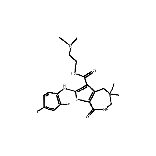 CN(C)CCNC(=O)c1c(Nc2ccc(I)cc2F)sc2c1CC(C)(C)CNC2=O